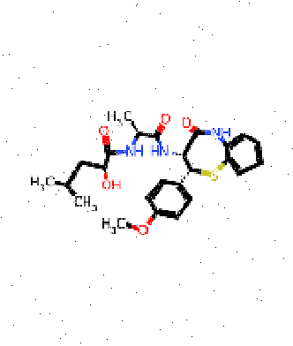 COc1ccc([C@H]2Sc3ccccc3NC(=O)[C@H]2NC(=O)[C@H](C)NC(=O)[C@@H](O)CC(C)C)cc1